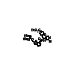 CCOC(=O)N1CCC2(CC1)CC(NC(=O)c1cccc3cn(COP(OC(C)(C)C)OC(C)(C)C)nc13)c1cc(Br)ncc1O2